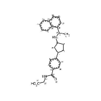 C[C@@H](NC1CCC(c2ccc(C(=O)NCC(=O)O)cc2)C1)c1cccc2ccccc12